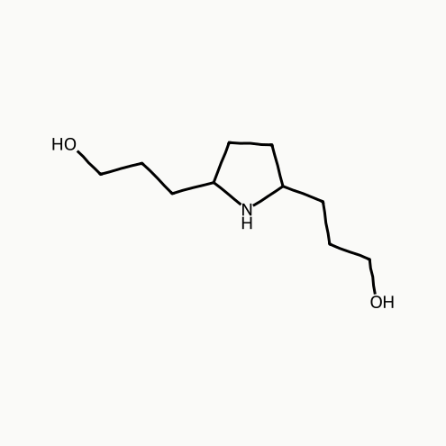 OCCCC1CCC(CCCO)N1